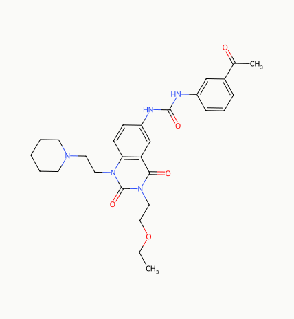 CCOCCn1c(=O)c2cc(NC(=O)Nc3cccc(C(C)=O)c3)ccc2n(CCN2CCCCC2)c1=O